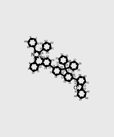 c1ccc(-c2nc3c4ccccc4c4cc(-c5ccc6c(c5)C(c5ccccc5)(c5ccccc5)c5cc(-c7cccc8c7oc7ccccc78)ccc5-6)ccc4n3c2-c2ccccc2)cc1